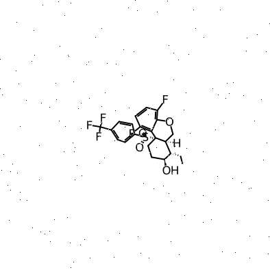 CC[C@@H]1[C@@H](O)CC[C@@]2(S(=O)(=O)c3ccc(C(F)(F)F)cc3)c3c(F)ccc(F)c3OC[C@@H]12